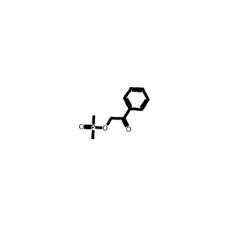 CP(C)(=O)OCC(=O)c1ccccc1